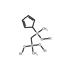 CCO[Si](C)(C[Si](C)(OCC)C1C=CC=C1)OCC